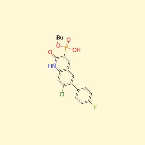 CCC(C)OP(=O)(O)c1cc2cc(-c3ccc(F)cc3)c(Cl)cc2[nH]c1=O